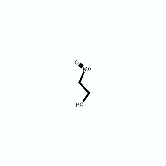 [O]=[Mo][CH2]CO